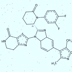 Cc1noc(C)c1C1=CC2N=C([C@@H]3CCCC(=O)N3c3ccc(F)c(F)c3)N(c3nc4c(s3)C(=O)NCC4)C2C=C1